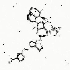 C#Cc1c(F)ccc2cccc(-c3nc4c5c(nc(OC[C@@]67CCCN6[C@H](COc6cc(C(F)F)ncn6)CC7)nc5c3F)N3CCN[C@@H](CC)[C@H]3CCC4)c12